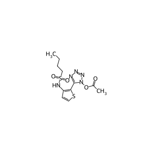 CCCCS(=O)(=O)Nc1ccsc1-c1nnnn1OC(C)=O